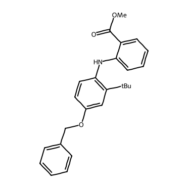 COC(=O)c1ccccc1Nc1ccc(OCc2ccccc2)cc1C(C)(C)C